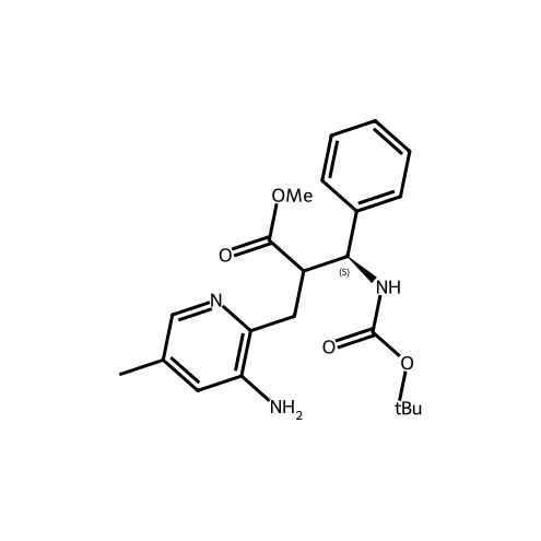 COC(=O)C(Cc1ncc(C)cc1N)[C@H](NC(=O)OC(C)(C)C)c1ccccc1